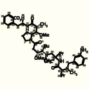 CC[C@H](C)[C@@H]([C@@H](CC(=O)N1CCC[C@H]1[C@H](OC)[C@@H](C)C(=O)N[C@@H](Cc1ccccc1)C(=O)O)OC)N(C)C[C@](C=O)(NC(=O)[C@H](C(C)C)N(C)Cc1cccc(N)c1)C(C)C